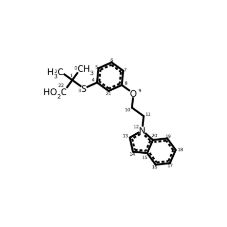 CC(C)(Sc1cccc(OCCn2ccc3ccccc32)c1)C(=O)O